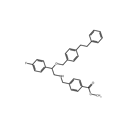 COC(=O)c1ccc(CNCC(OCc2ccc(CCc3ccccc3)cc2)c2ccc(F)cc2)cc1